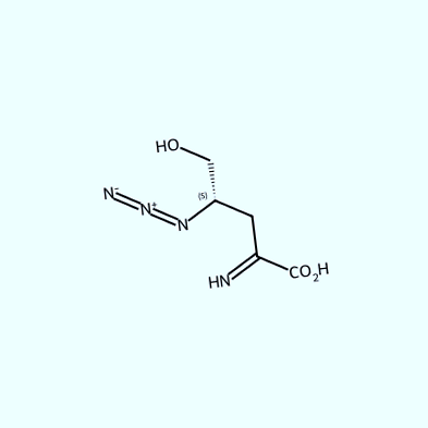 [N-]=[N+]=N[C@H](CO)CC(=N)C(=O)O